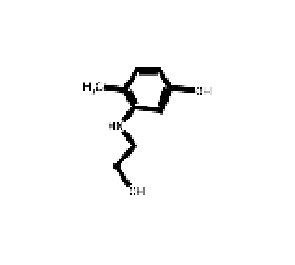 Cc1ccc(O)cc1NCCO